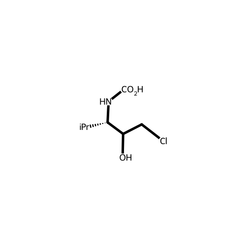 CC(C)[C@H](NC(=O)O)C(O)CCl